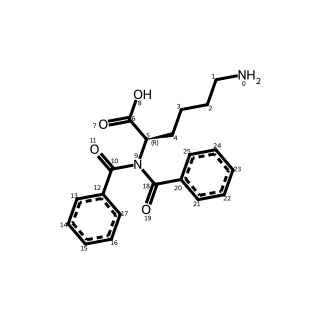 NCCCC[C@H](C(=O)O)N(C(=O)c1ccccc1)C(=O)c1ccccc1